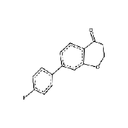 O=C1CCOc2cc(-c3ccc(F)cc3)ccc21